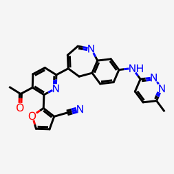 CC(=O)c1ccc(C2=CC=Nc3cc(Nc4ccc(C)nn4)ccc3C2)nc1-c1occc1C#N